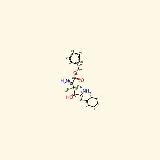 NC(CC1CCCCC1)C(O)C(F)(F)C(N)C(=O)OCc1ccccc1